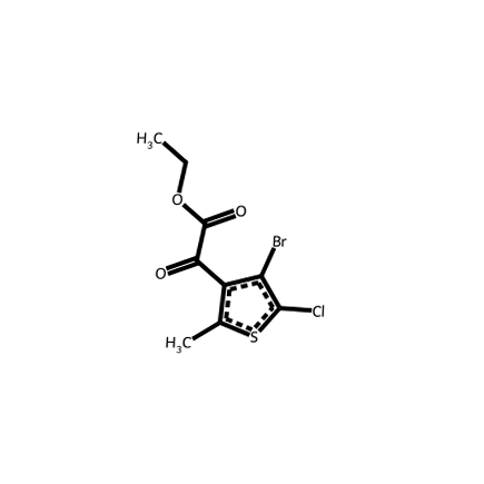 CCOC(=O)C(=O)c1c(C)sc(Cl)c1Br